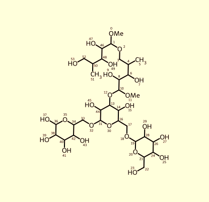 COC(OCC(C)C(O)C(O)C(OC)OC1C(O)C(COC2OC(CO)C(O)C(O)C2O)OC(OCC2OC(O)C(O)C(O)C2O)C1O)C(O)C(O)C(C)CO